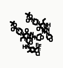 CCc1[nH]c2nc(N3CCOCC3)nn2c(=O)c1N1CCN(C(=O)OC(C)(C)C)CC1.CCc1c(N2CCN(C(=O)OC(C)(C)C)CC2)c(=O)n2nc(N3CCOCC3)nc2n1CC(=O)Nc1cc(C(F)(F)F)c(Cl)cc1C